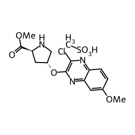 COC(=O)[C@@H]1C[C@@H](Oc2nc3cc(OC)ccc3nc2Cl)CN1.CS(=O)(=O)O